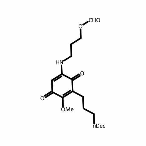 CCCCCCCCCCCCCC1=C(OC)C(=O)C=C(NCCCOC=O)C1=O